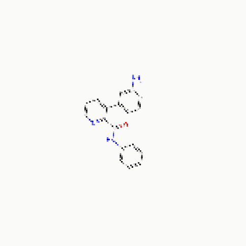 Nc1cccc(-c2cccnc2C(=O)Nc2ccccc2)c1